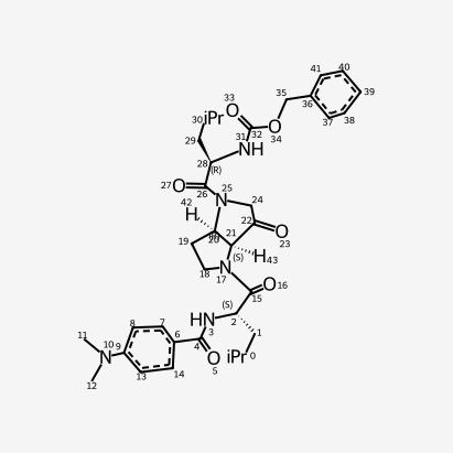 CC(C)C[C@H](NC(=O)c1ccc(N(C)C)cc1)C(=O)N1CC[C@@H]2[C@H]1C(=O)CN2C(=O)[C@@H](CC(C)C)NC(=O)OCc1ccccc1